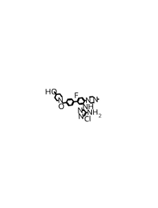 CN1CCN(c2cc(F)c(-c3ccc(C(=O)N4CCC(O)CC4)cc3)cc2Nc2ncnc(Cl)c2N)CC1